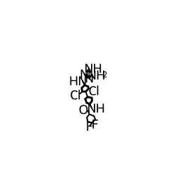 Nc1nc(Nc2cc(Cl)c(-c3ccc(NC(=O)C4CCC(F)(F)CC4)cc3)c(Cl)c2)n[nH]1